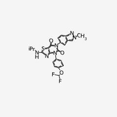 CC(C)Nc1nc2c(s1)c(=O)n(-c1ccc3nn(C)cc3c1)c(=O)n2-c1ccc(OC(F)F)cc1